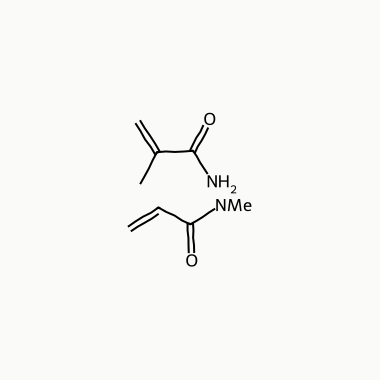 C=C(C)C(N)=O.C=CC(=O)NC